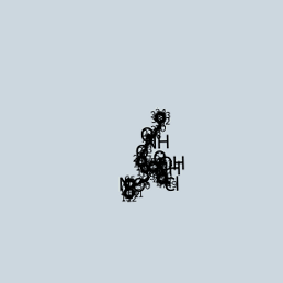 C[C@@H](COc1ccnc2c1[C@H](C)CCC2)C[C@H]1Cc2ccc(OCCNC(=O)CCCc3ccccc3)cc2C12CCC(Nc1cccc(Cl)c1)(C(=O)O)CC2